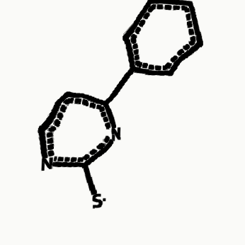 [S]c1nccc(-c2ccccc2)n1